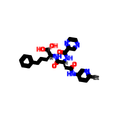 CCc1ccc(NC(=O)C[C@@H](NC(=O)c2cnccn2)C(=O)N[C@@H](CCCc2ccccc2)B(O)O)cn1